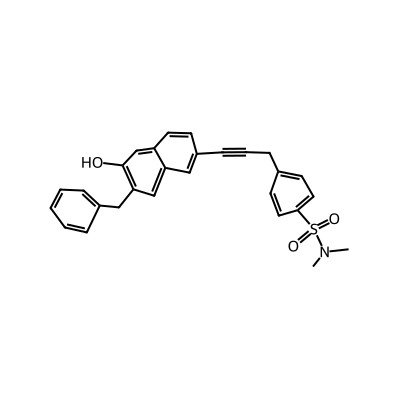 CN(C)S(=O)(=O)c1ccc(CC#Cc2ccc3cc(O)c(Cc4ccccc4)cc3c2)cc1